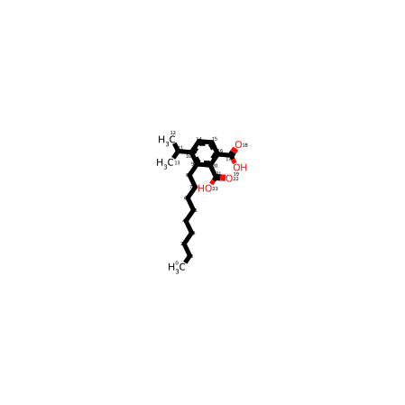 CCCCCCCCCc1c(C(C)C)ccc(C(=O)O)c1C(=O)O